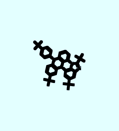 CC(C)(C)c1ccc(N2c3ccc(C(C)(C)C)cc3B3c4c2cccc4-n2c(C(C)(C)C)nc4cc(C(C)(C)C)cc3c42)cc1